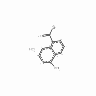 Cl.Nc1nccc2c(C(=O)O)cccc12